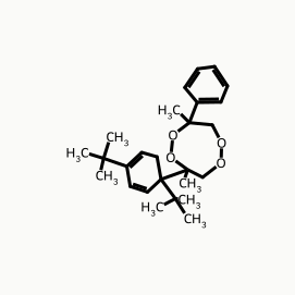 CC(C)(C)C1=CCC(C(C)(C)C)(C2(C)COOCC(C)(c3ccccc3)OO2)C=C1